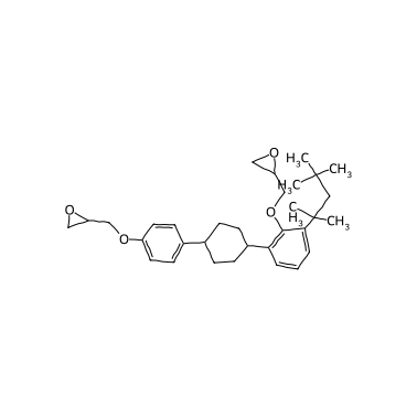 CC(C)(C)CC(C)(C)c1cccc(C2CCC(c3ccc(OCC4CO4)cc3)CC2)c1OCC1CO1